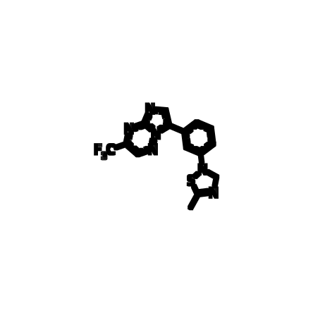 CC1=NCN(c2cccc(-c3cnc4nc(C(F)(F)F)cnn34)c2)S1